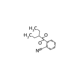 [CH2]CC(CC)S(=O)(=O)c1ccccc1C#N